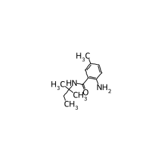 CCC(C)(C)NC(=O)c1cc(C)ccc1N